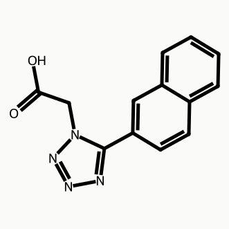 O=C(O)Cn1nnnc1-c1ccc2ccccc2c1